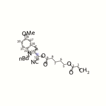 C=CC(=O)OCCCCC(=O)O/C(C#N)=C1\Sc2cc(OC)ccc2N1CCCC